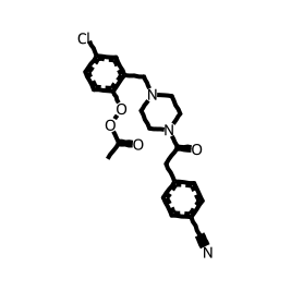 CC(=O)OOc1ccc(Cl)cc1CN1CCN(C(=O)Cc2ccc(C#N)cc2)CC1